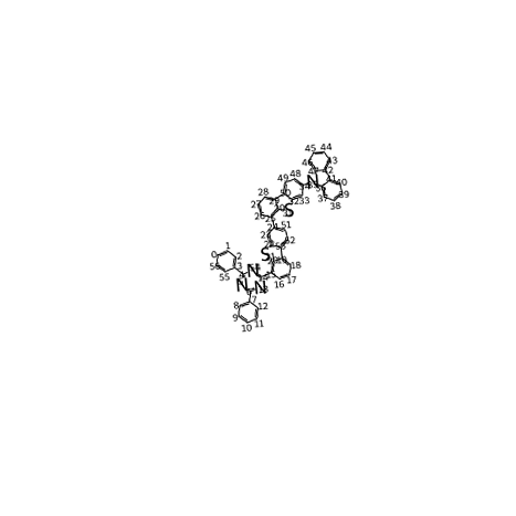 c1ccc(-c2nc(-c3ccccc3)nc(-c3cccc4c3sc3cc(-c5cccc6c5sc5cc(-n7c8ccccc8c8ccccc87)ccc56)ccc34)n2)cc1